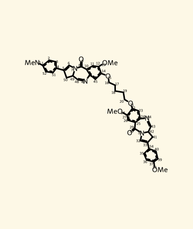 CNc1ccc(C2=CN3C(=O)c4cc(OC)c(OCCCCCOc5cc6c(cc5OC)C(=O)N5C=C(c7ccc(OC)cc7)CC5C=N6)cc4N=CC3C2)cc1